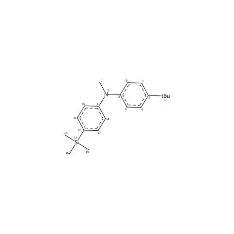 CN(c1ccc(C(C)(C)C)cc1)c1ccc([Si](C)(C)C)cc1